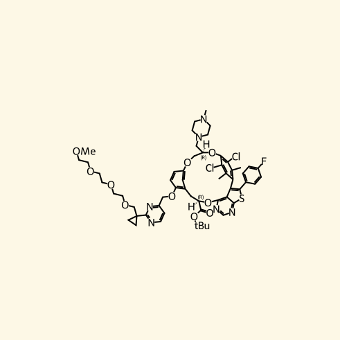 COCCOCCOCCOCC1(c2nccc(COc3ccc4cc3C[C@H](C(=O)OC(C)(C)C)Oc3ncnc5sc(-c6ccc(F)cc6)c(c35)-c3c(C)c(Cl)c(c(Cl)c3C)O[C@H](CN3CCN(C)CC3)CO4)n2)CC1